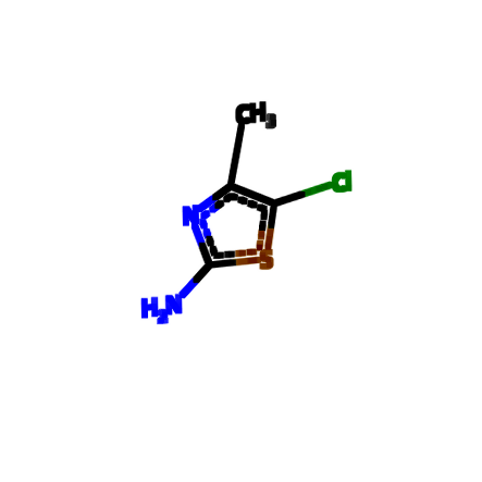 Cc1nc(N)sc1Cl